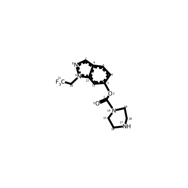 O=C(Oc1ccc2cnn(CC(F)(F)F)c2c1)N1CCNCC1